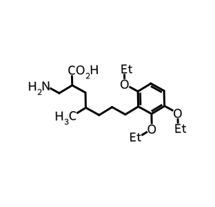 CCOc1ccc(OCC)c(OCC)c1CCCC(C)CC(CN)C(=O)O